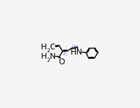 C=C/C(=C\C=C/Nc1ccccc1)C(N)=O